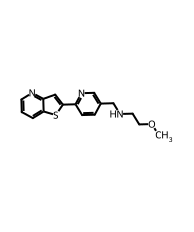 COCCNCc1ccc(-c2cc3ncccc3s2)nc1